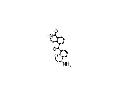 NC1CCOc2c(C(=O)c3cccc4c(=O)[nH]ccc34)cccc21